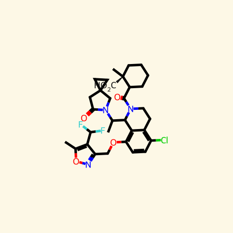 Cc1onc(COc2ccc(Cl)c3c2C(C(C)N2CC4(CC4)CC2=O)N(C(=O)C2CCCC[C@]2(C)C(=O)O)CC3)c1C(F)F